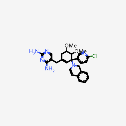 COC1CC(Cc2cnc(N)nc2N)=CC(c2ccc(Cl)nc2)(N2C=Cc3ccccc3C2)C1OC